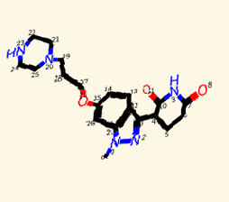 Cn1nc(C2CCC(=O)NC2=O)c2ccc(OCCCN3CCNCC3)cc21